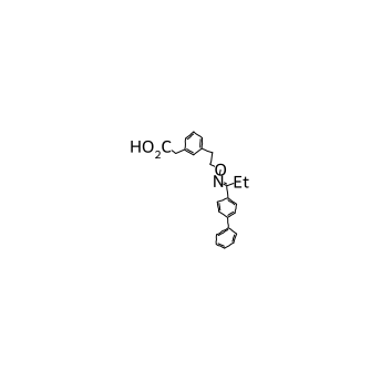 CC/C(=N\OCCc1cccc(CC(=O)O)c1)c1ccc(-c2ccccc2)cc1